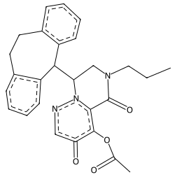 CCCN1CC(C2c3ccccc3CCc3ccccc32)n2ncc(=O)c(OC(C)=O)c2C1=O